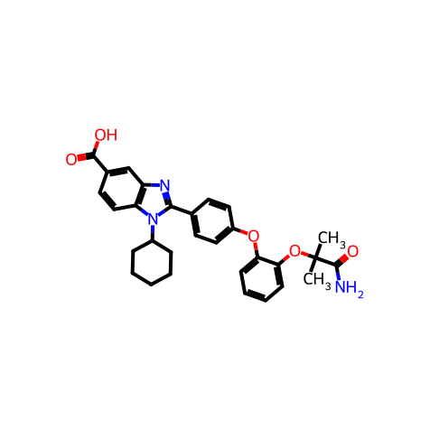 CC(C)(Oc1ccccc1Oc1ccc(-c2nc3cc(C(=O)O)ccc3n2C2CCCCC2)cc1)C(N)=O